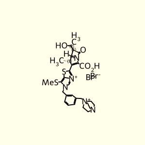 CSc1c2sc(C3=C(C(=O)O)N4C(=O)[C@H]([C@@H](C)O)[C@H]4[C@H]3C)c[n+]2cn1Cc1cccc(C[N+]23CCN(CC2)CC3)c1.[Br-].[Br-]